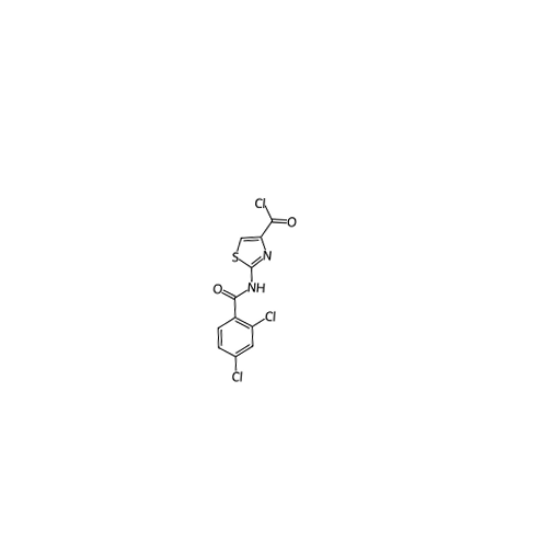 O=C(Cl)c1csc(NC(=O)c2ccc(Cl)cc2Cl)n1